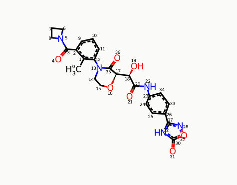 Cc1c(C(=O)N2CCC2)cccc1N1CCO[C@H]([C@@H](O)C(=O)Nc2ccc(-c3noc(=O)[nH]3)cc2)C1=O